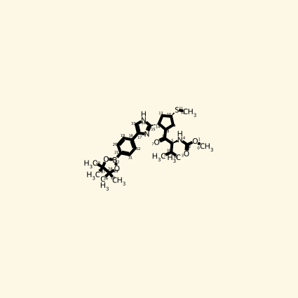 COC(=O)N[C@H](C(=O)C1C[C@@H](SC)C[C@H]1c1nc(-c2ccc(B3OC(C)(C)C(C)(C)O3)cc2)c[nH]1)C(C)C